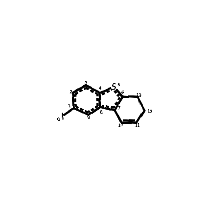 Ic1ccc2sc3c(c2c1)C=CCC3